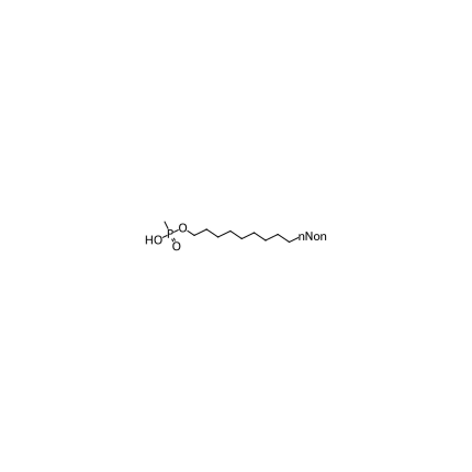 CCCCCCCCCCCCCCCCCCOP(C)(=O)O